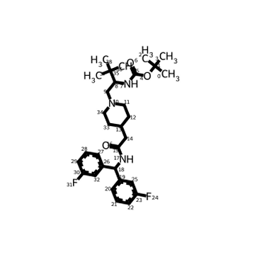 CC(C)(C)OC(=O)NC(CN1CCC(CC(=O)NC(c2cccc(F)c2)c2cccc(F)c2)CC1)C(C)(C)C